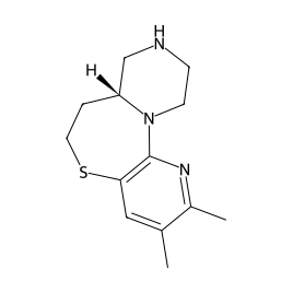 Cc1cc2c(nc1C)N1CCNC[C@H]1CCS2